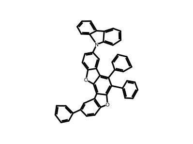 c1ccc(-c2ccc3oc4c(-c5ccccc5)c(-c5ccccc5)c5c6cc(-n7c8ccccc8c8ccccc87)ccc6oc5c4c3c2)cc1